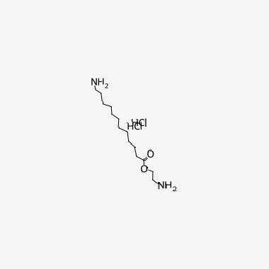 Cl.Cl.NCCCCCCCCCCCC(=O)OCCN